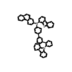 c1cc(-c2ccc(N(c3ccc4c(ccc5ccccc54)c3)c3cccc4c3sc3ccccc34)cc2)cc(-c2ccccc2-n2c3ccccc3c3ccccc32)c1